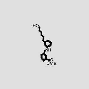 COC(=O)c1cccc(CNc2cccc(CCCCCCO)c2)c1